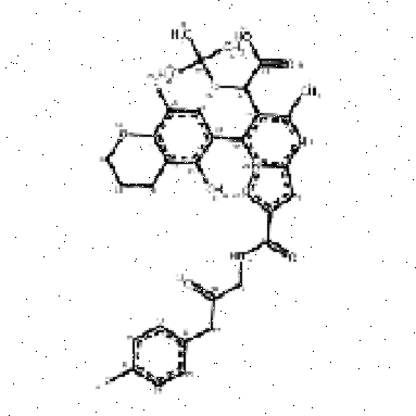 Cc1nc2cc(C(=O)NCC(=O)Cc3ccc(F)cc3)nn2c(-c2cc(F)c3c(c2C)CCCO3)c1C(OC(C)(C)C)C(=O)O